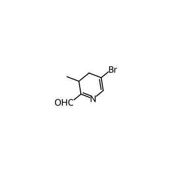 CC1CC(Br)=CN=C1C=O